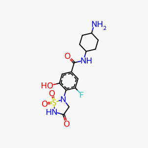 NC1CCC(NC(=O)c2cc(O)c(N3CC(=O)NS3(=O)=O)c(F)c2)CC1